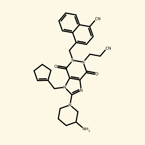 N#CCCn1c(=O)c2nc(N3CCCC(N)C3)n(CC3=CCCC3)c2c(=O)n1Cc1ccc(C#N)c2ccccc12